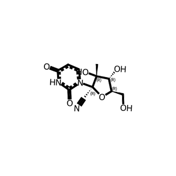 C[C@@]1(O)[C@H](O)[C@@H](CO)O[C@@]1(C#N)n1ccc(=O)[nH]c1=O